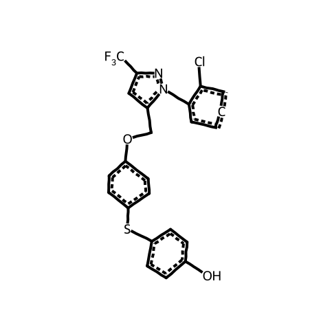 Oc1ccc(Sc2ccc(OCc3cc(C(F)(F)F)nn3-c3ccccc3Cl)cc2)cc1